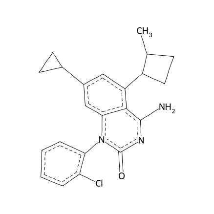 CC1CCC1c1cc(C2CC2)cc2c1c(N)nc(=O)n2-c1ccccc1Cl